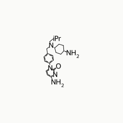 CC(C)CN(Cc1ccc(-n2ccc(N)nc2=O)cc1)[C@H]1CC[C@H](N)CC1